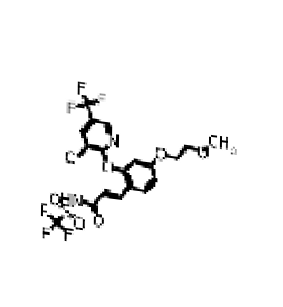 COCCOc1ccc(C=CC(=O)NS(=O)(=O)C(F)(F)F)c(Oc2ncc(C(F)(F)F)cc2Cl)c1